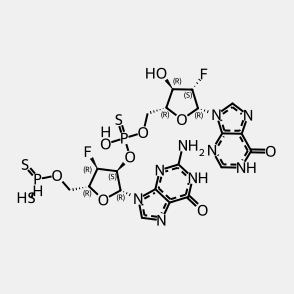 Nc1nc2c(ncn2[C@@H]2O[C@H](CO[PH](=S)S)[C@@H](F)[C@H]2OP(O)(=S)OC[C@H]2O[C@@H](n3cnc4c(=O)[nH]cnc43)[C@@H](F)[C@@H]2O)c(=O)[nH]1